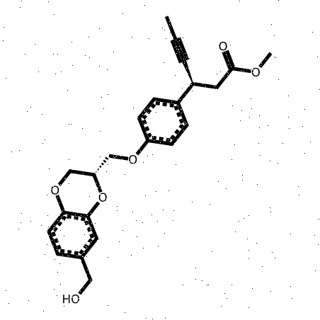 CC#C[C@@H](CC(=O)OC)c1ccc(OC[C@H]2COc3ccc(CO)cc3O2)cc1